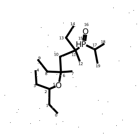 CCC(CC)OC(C)(CC)CC(C)(CC)[PH](=O)C(C)C